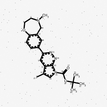 CN1CCOc2ccc(-c3cc4c(I)cn(C(=O)OC(C)(C)C)c4nn3)cc2C1